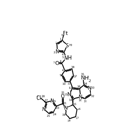 CCc1cnc(NC(=O)c2ccc(-c3nc(C4CCCCN4C(=O)c4ccnc(Cl)n4)n4ccnc(N)c34)cc2)s1